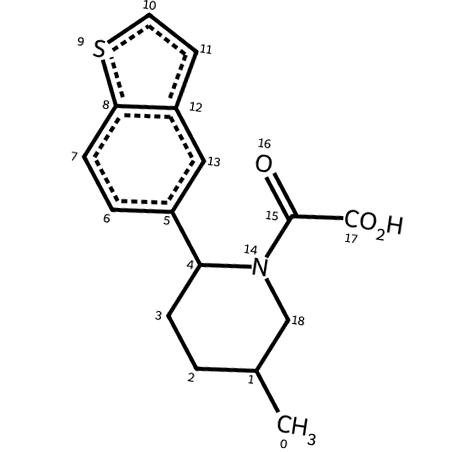 CC1CCC(c2ccc3sccc3c2)N(C(=O)C(=O)O)C1